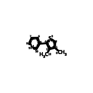 Cc1csc(-c2cccnc2)c1C